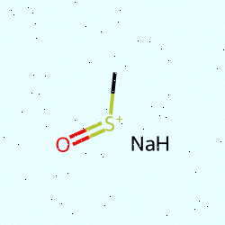 C[S+]=O.[NaH]